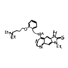 CCN(CC)CCCOc1ccccc1CNc1ncnc2cc3c(cc12)[nH]c(=S)n3CC